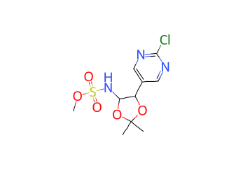 COS(=O)(=O)NC1OC(C)(C)OC1c1cnc(Cl)nc1